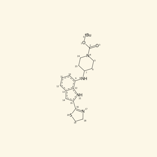 CC(C)(C)OC(=O)N1CCC(Nc2cccc3cc(C4=NCCS4)[nH]c23)CC1